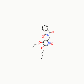 CCCCOc1cc(CN2C(=O)c3ccccc3C2=O)[n+]([O-])cc1OCCCC